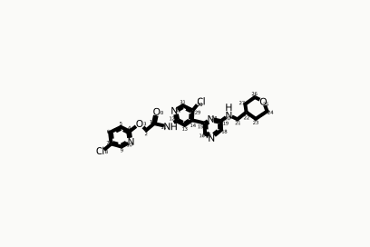 O=C(COc1ccc(Cl)cn1)Nc1cc(-c2cncc(NCC3CCOCC3)n2)c(Cl)cn1